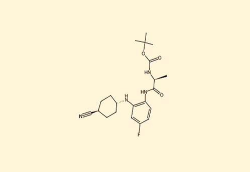 C[C@H](NC(=O)OC(C)(C)C)C(=O)Nc1ccc(F)cc1N[C@H]1CC[C@H](C#N)CC1